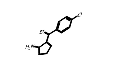 [CH2]CC(c1ccc(Cl)cc1)C1CCCC1N